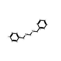 [CH](SCc1ccccc1)SCc1ccccc1